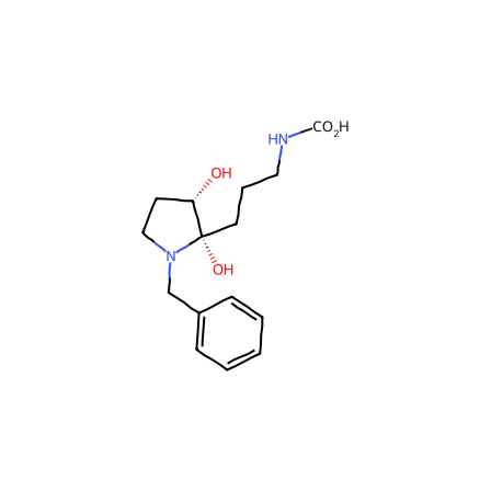 O=C(O)NCCC[C@]1(O)[C@@H](O)CCN1Cc1ccccc1